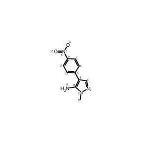 Cn1ncc(-c2ccc([N+](=O)[O-])cc2)c1N